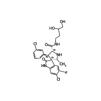 CC1N[C@@H](C(=O)NCCC(O)CO)[C@H](c2cccc(Cl)c2)[C@@]12C(=O)Nc1cc(Cl)c(F)cc12